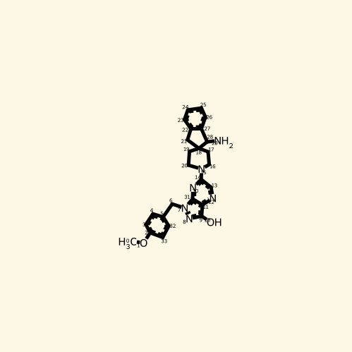 COc1ccc(Cn2nc(O)c3ncc(N4CCC5(CC4)Cc4ccccc4C5N)nc32)cc1